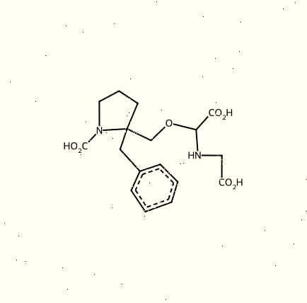 O=C(O)CNC(OCC1(Cc2ccccc2)CCCN1C(=O)O)C(=O)O